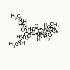 CCNCCNC(=O)CC(CC(=O)NCCNC)C(=O)NCCNC(C)(C)C(=O)C(CCC(=O)O)NC(C)(C)C(=O)C1CCCN1C(C)=O